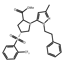 COC(=O)C1C[C@@H](S(=O)(=O)c2ccccc2C(F)(F)F)CN1c1cc(C)nn1CCc1ccccc1